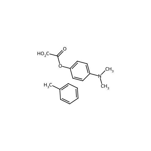 CN(C)c1ccc(OC(=O)C(=O)O)cc1.Cc1ccccc1